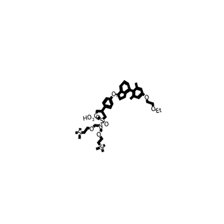 CCOCCOc1cc(C)c(-c2cccc3c2CC[C@H]3Oc2ccc(C(CC(=O)O)CS(=O)(=O)N(COCC[Si](C)(C)C)COCC[Si](C)(C)C)cc2)c(C)c1